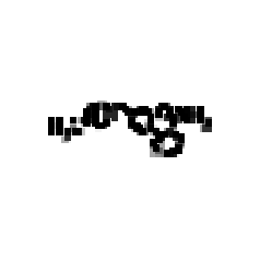 CN1CCN(Cc2ccc(-c3ncccc3C(N)=O)cc2)CC1